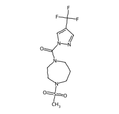 CS(=O)(=O)N1CCCN(C(=O)n2cc(C(F)(F)F)cn2)CC1